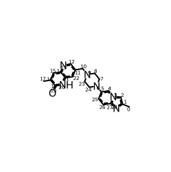 Cc1cn2cc(N3CCN(Cc4cnc5cc(C)c(=O)[nH]c5c4)CC3)ccc2n1